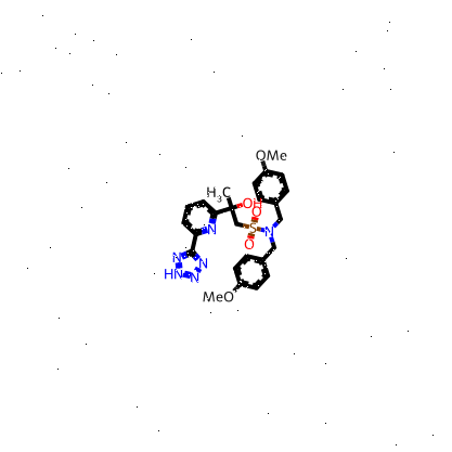 COc1ccc(CN(Cc2ccc(OC)cc2)S(=O)(=O)CC(C)(O)c2cccc(-c3nn[nH]n3)n2)cc1